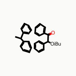 CC(C)COC(C(=O)c1ccccc1)c1ccccc1.CC(c1ccccc1)c1ccccc1